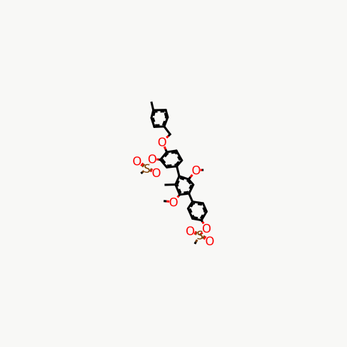 COc1cc(-c2ccc(OS(C)(=O)=O)cc2)c(OC)c(C)c1-c1ccc(OCc2ccc(C)cc2)c(OS(C)(=O)=O)c1